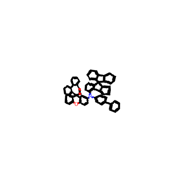 c1ccc(-c2ccc(N(c3ccc4c(c3)C3(c5ccccc5O4)c4ccccc4-c4ccccc4-c4ccccc43)c3cccc4c3-c3ccccc3C43c4ccccc4-c4ccccc43)cc2)cc1